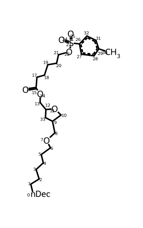 CCCCCCCCCCCCCCCCOCC1COC(COC(=O)CCCCCOS(=O)(=O)c2ccc(C)cc2)C1